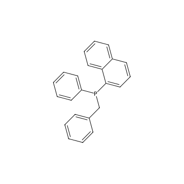 c1ccc(CP(c2ccccc2)c2cccc3ccccc23)cc1